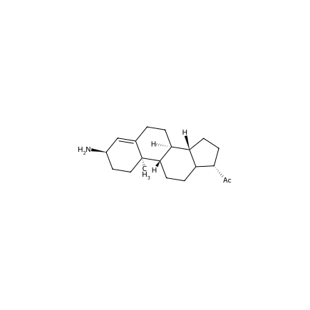 CC(=O)[C@H]1CC[C@@H]2C1CC[C@H]1[C@H]2CCC2=C[C@H](N)CC[C@@]21C